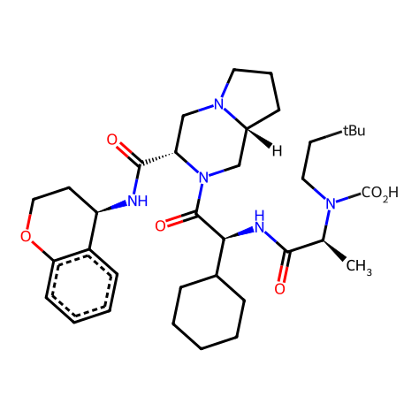 C[C@@H](C(=O)N[C@H](C(=O)N1C[C@H]2CCCN2C[C@H]1C(=O)N[C@@H]1CCOc2ccccc21)C1CCCCC1)N(CCC(C)(C)C)C(=O)O